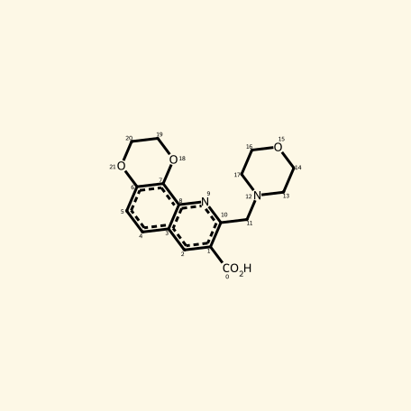 O=C(O)c1cc2ccc3c(c2nc1CN1CCOCC1)OCCO3